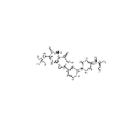 C=C(NC(=O)C(=C)N1Cc2c(cccc2-c2ccc(NC(C)=O)cc2)C1=O)C(=O)OC(C)(C)C